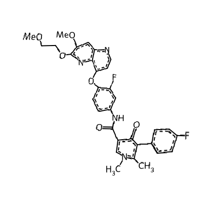 COCCOc1nc2c(Oc3ccc(NC(=O)c4cn(C)c(C)c(-c5ccc(F)cc5)c4=O)cc3F)ccnc2cc1OC